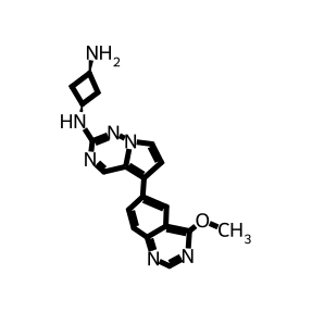 COc1ncnc2ccc(-c3ccn4nc(N[C@H]5C[C@H](N)C5)ncc34)cc12